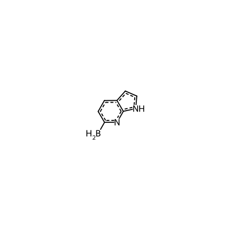 Bc1ccc2cc[nH]c2n1